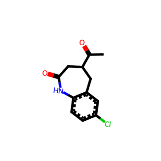 CC(=O)C1CC(=O)Nc2ccc(Cl)cc2C1